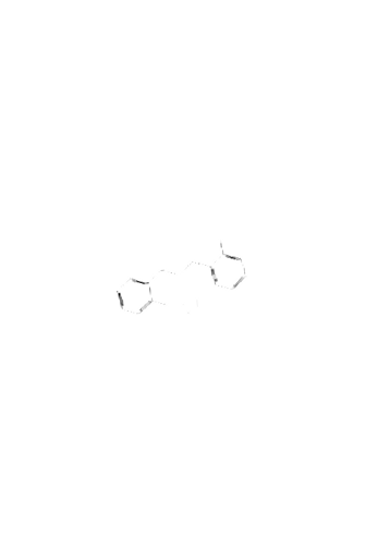 O=C(O)c1ccccc1COCc1ccccc1C(=O)O